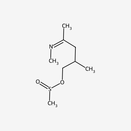 C/N=C(/C)CC(C)COS(C)=O